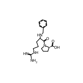 N=C(N)NCCCC(NCc1ccccc1)C(=O)N1CCC[C@@H]1C(=O)O